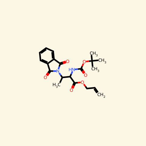 C=CCOC(=O)C(NC(=O)OC(C)(C)C)C(C)N1C(=O)c2ccccc2C1=O